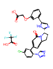 O=C(O)C(F)(F)F.O=C(O)COc1cccc(-c2cnc([C@@H]3CCc4cc(-c5cc(Cl)ccc5-n5cnnn5)cc(=O)n43)[nH]2)c1